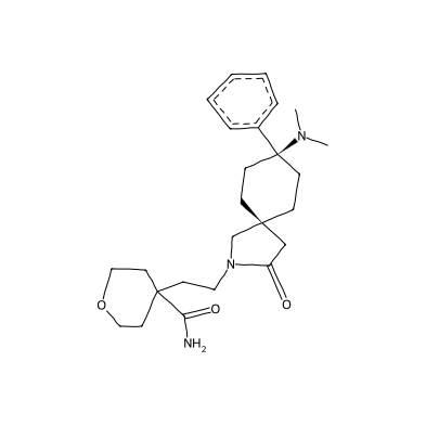 CN(C)[C@]1(c2ccccc2)CC[C@@]2(CC1)CC(=O)N(CCC1(C(N)=O)CCOCC1)C2